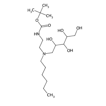 CCCCCCN(CCNC(=O)OC(C)(C)C)CC(O)C(O)C(O)CO